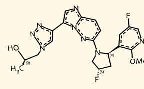 COc1ncc(F)cc1[C@H]1C[C@H](F)CN1c1ccc2ncc(-c3cn(C[C@@H](C)O)nn3)n2n1